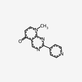 Cn1ccc(=O)c2cnc(-c3ccncc3)nc21